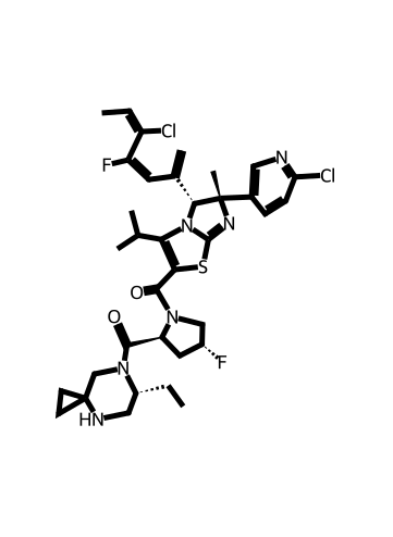 C=C(/C=C(F)\C(Cl)=C/C)[C@H]1N2C(=N[C@@]1(C)c1ccc(Cl)nc1)SC(C(=O)N1C[C@H](F)C[C@H]1C(=O)N1CC3(CC3)NC[C@H]1CC)=C2C(C)C